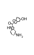 NC1=Cc2cc(C(=O)c3cc4cc(O)ccc4o3)[nH]c2C=CC1